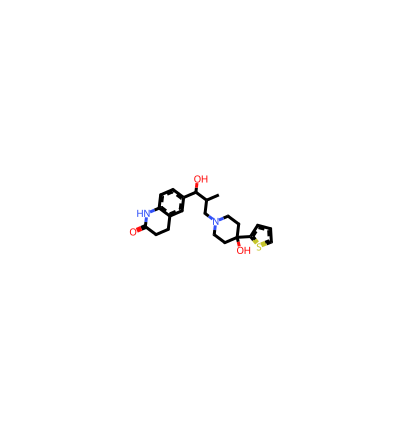 CC(CN1CCC(O)(c2cccs2)CC1)C(O)c1ccc2c(c1)CCC(=O)N2